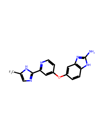 Nc1nc2cc(Oc3ccnc(-c4ncc(C(F)(F)F)[nH]4)c3)ccc2[nH]1